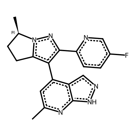 Cc1cc(-c2c(-c3ccc(F)cn3)nn3c2CC[C@H]3C)c2cn[nH]c2n1